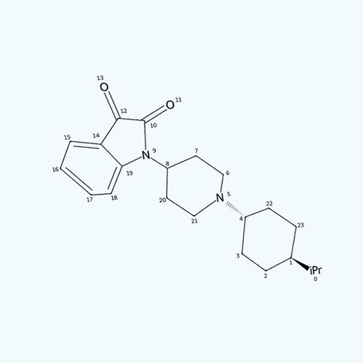 CC(C)[C@H]1CC[C@H](N2CCC(N3C(=O)C(=O)c4ccccc43)CC2)CC1